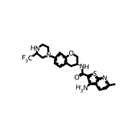 Cc1ccc2c(N)c(C(=O)N[C@H]3COc4cc(N5CCNC(C(F)(F)F)C5)ccc4C3)sc2n1